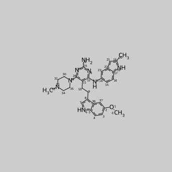 COc1ccc2[nH]cc(CCc3c(Nc4ccc5[nH]c(C)cc5c4)nc(N)nc3N3CCN(C)CC3)c2c1